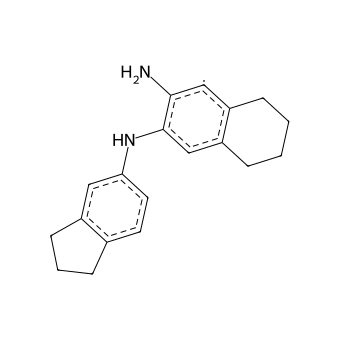 Nc1[c]c2c(cc1Nc1ccc3c(c1)CCC3)CCCC2